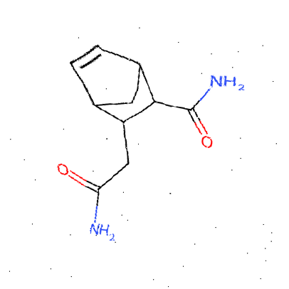 NC(=O)CC1C2C=CC(C2)C1C(N)=O